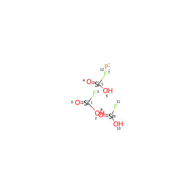 O=[Si](O)F.O=[Si](O)F.O=[Si](O)F.[P]